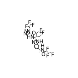 C[C@@H](NC(=O)C(F)C(F)CF)c1ccc2nc([C@@H](NC(=O)c3cnnn3CC(F)C(F)F)C3CCC(F)(F)CC3)[nH]c2c1